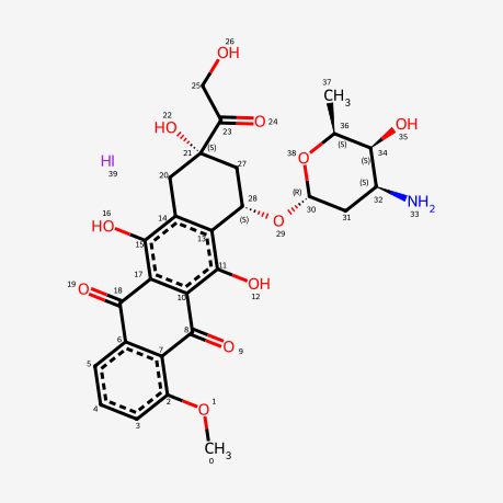 COc1cccc2c1C(=O)c1c(O)c3c(c(O)c1C2=O)C[C@@](O)(C(=O)CO)C[C@@H]3O[C@H]1C[C@H](N)[C@H](O)[C@H](C)O1.I